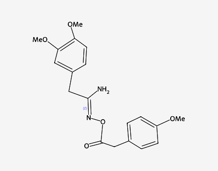 COc1ccc(CC(=O)O/N=C(\N)Cc2ccc(OC)c(OC)c2)cc1